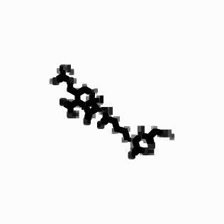 CC(=O)OCC1CS[C@@H]2[C@H](NC(=O)CCCC[C@H](NC(=O)CN)C(=O)O)C(=O)N2C1C(=O)O